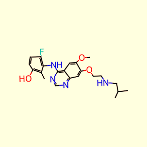 COc1cc2c(Nc3c(F)ccc(O)c3C)ncnc2cc1OCCNCC(C)C